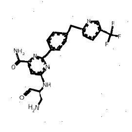 NC[C@@H](C=O)Nc1cc(C(N)=O)nc(-c2ccc(Cc3ccc(C(F)(F)F)cn3)cc2)n1